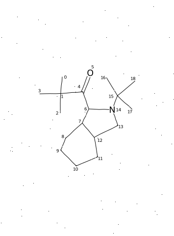 CC(C)(C)C(=O)C1C2CCCCC2CN1C(C)(C)C